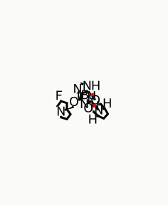 CC(C)(C)OC(=O)N1[C@@H]2CC[C@H]1CN(c1nc(OC[C@@]34CCCN3C[C@H](F)C4)c3nc[nH]c3n1)C2